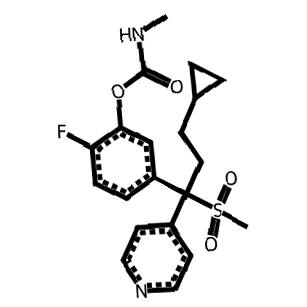 CNC(=O)Oc1cc(C(CCC2CC2)(c2ccncc2)S(C)(=O)=O)ccc1F